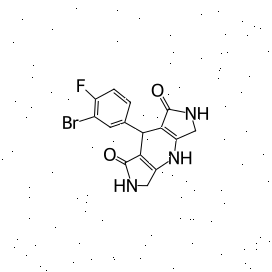 O=C1NCC2=C1C(c1ccc(F)c(Br)c1)C1=C(CNC1=O)N2